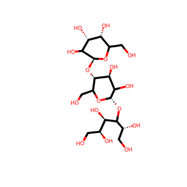 OCC1O[C@@H](O[C@H]2C(CO)O[C@@H](OC([C@H](O)CO)[C@H](O)[C@@H](O)CO)C(O)[C@@H]2O)C(O)[C@H](O)[C@@H]1O